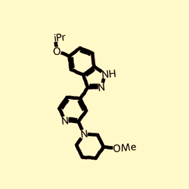 COC1CCCN(c2cc(-c3n[nH]c4ccc(OC(C)C)cc34)ccn2)C1